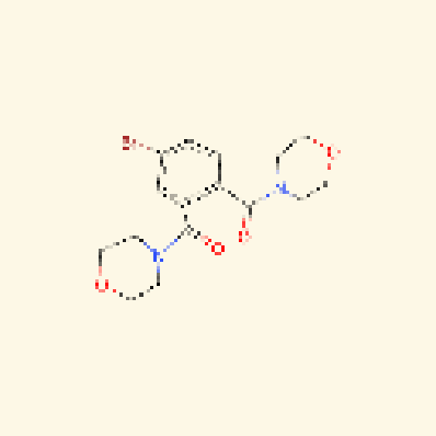 O=C(c1ccc(Br)cc1C(=O)N1CCOCC1)N1CCOCC1